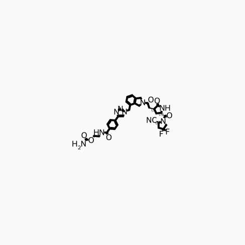 N#C[C@@H]1CC(F)(F)CN1C(=O)[C@@H]1C[C@@H](CC(=O)N2Cc3cccc(Cn4cc(-c5ccc(C(=O)NCCOC(N)=O)cc5)nn4)c3C2)C(=O)N1